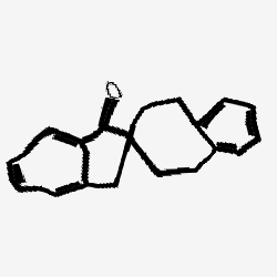 O=C1c2ccccc2CC12CCc1ccccc1CC2